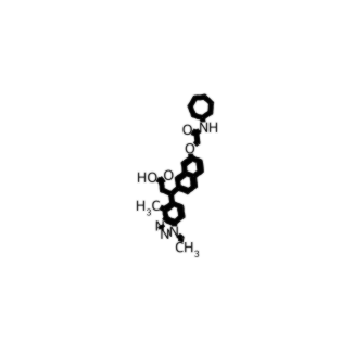 CCn1nnc2c(C)c(C(CC(=O)O)c3ccc4ccc(OCC(=O)NC5CCCCCC5)cc4c3)ccc21